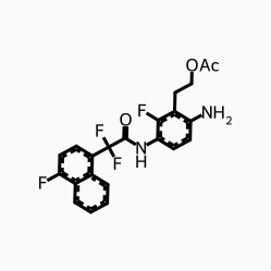 CC(=O)OCCc1c(N)ccc(NC(=O)C(F)(F)c2ccc(F)c3ccccc23)c1F